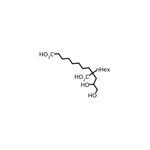 CCCCCCC(CCCCCCCC(=O)O)(CC(O)CO)C(=O)O